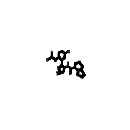 O=C(Nc1c[nH]nc1-c1cc(Cl)ccc1OC(F)F)c1cncc2ccoc12